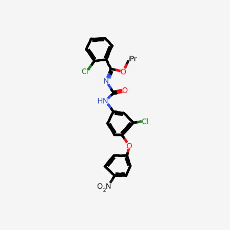 CC(C)OC(=NC(=O)Nc1ccc(Oc2ccc([N+](=O)[O-])cc2)c(Cl)c1)c1ccccc1Cl